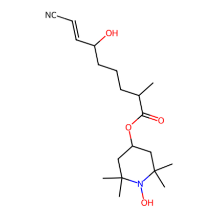 CC(CCCC(O)/C=C/C#N)C(=O)OC1CC(C)(C)N(O)C(C)(C)C1